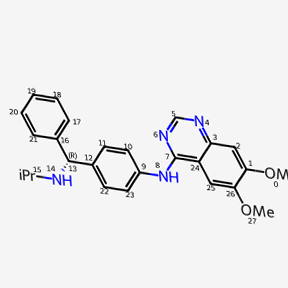 COc1cc2ncnc(Nc3ccc([C@H](NC(C)C)c4ccccc4)cc3)c2cc1OC